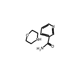 C1COCCN1.NC(=O)c1cccnc1